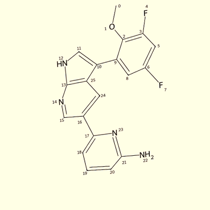 COc1c(F)cc(F)cc1-c1c[nH]c2ncc(-c3cccc(N)n3)cc12